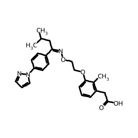 Cc1c(CC(=O)O)cccc1OCCON=C(CC(C)C)c1ccc(-n2cccn2)cc1